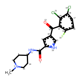 CN1CCC(NC(=O)c2cc(C(=O)c3c(F)ccc(Cl)c3Cl)c[nH]2)CC1